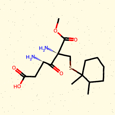 COC(=O)[C@@](N)(CSC1(C)CCCCC1C)C(=O)[C@@H](N)CC(=O)O